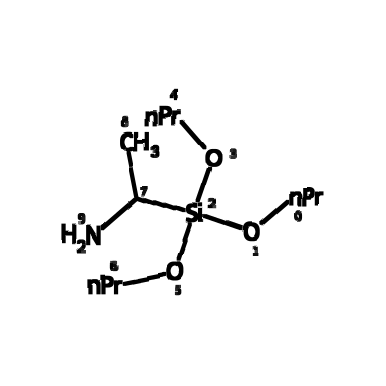 CCCO[Si](OCCC)(OCCC)C(C)N